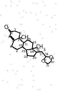 CC12CCC(=O)C=C1CCC1C2CCC2(C)C(CC3OCCO3)CCC12